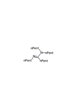 CCCCC/N=C(\CCCCC)N(CCCCC)CCCCC